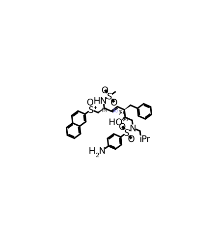 CC(C)CN(C[C@H](O)[C@@H](/C=C/[C@@H](C[S+]([O-])c1ccc2ccccc2c1)NS(C)(=O)=O)Cc1ccccc1)S(=O)(=O)c1ccc(N)cc1